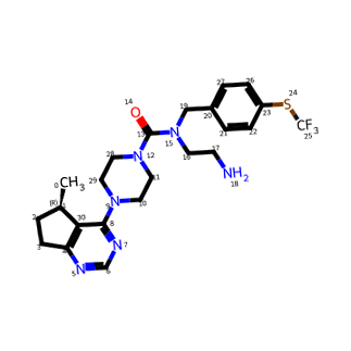 C[C@@H]1CCc2ncnc(N3CCN(C(=O)N(CCN)Cc4ccc(SC(F)(F)F)cc4)CC3)c21